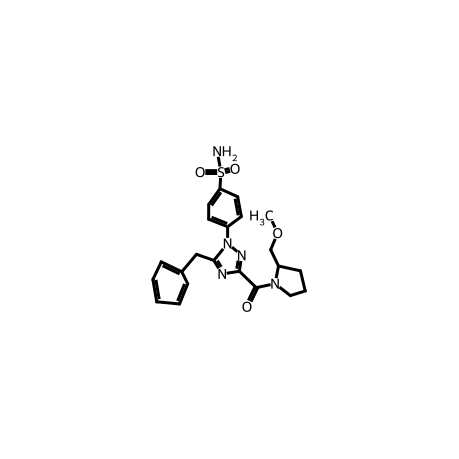 COCC1CCCN1C(=O)c1nc(Cc2ccccc2)n(-c2ccc(S(N)(=O)=O)cc2)n1